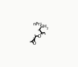 CCC[SiH2]CC(C)OCC1CO1